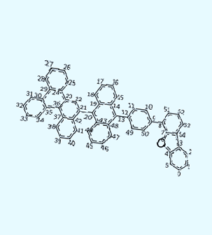 c1ccc2c(c1)oc1c(-c3ccc(-c4c5ccccc5c(-c5cc6c7ccccc7c7ccccc7c6c6ccccc56)c5ccccc45)cc3)cccc12